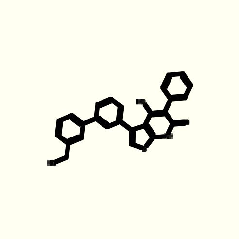 O=c1[nH]c2scc(-c3cccc(-c4cccc(CO)c4)c3)c2c(O)c1-c1ccccc1